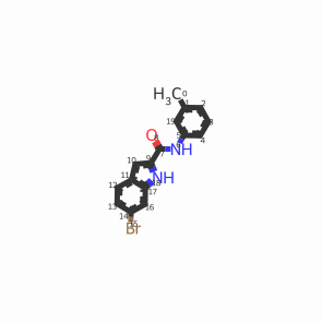 Cc1cccc(NC(=O)c2cc3ccc(Br)cc3[nH]2)c1